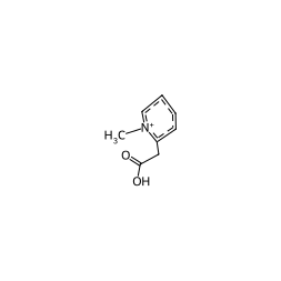 C[n+]1ccccc1CC(=O)O